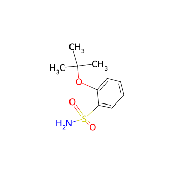 CC(C)(C)Oc1ccccc1S(N)(=O)=O